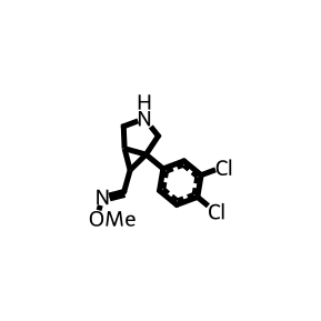 CON=CC1C2CNCC12c1ccc(Cl)c(Cl)c1